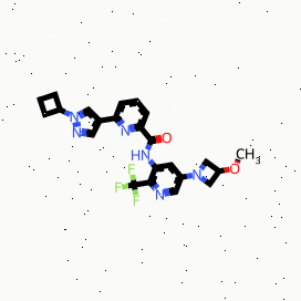 COC1CN(c2cnc(C(F)(F)F)c(NC(=O)c3cccc(-c4cnn(C5CCC5)c4)n3)c2)C1